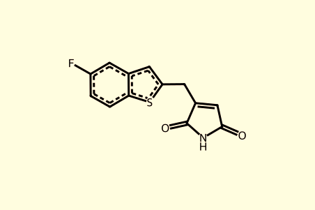 O=C1C=C(Cc2cc3cc(F)ccc3s2)C(=O)N1